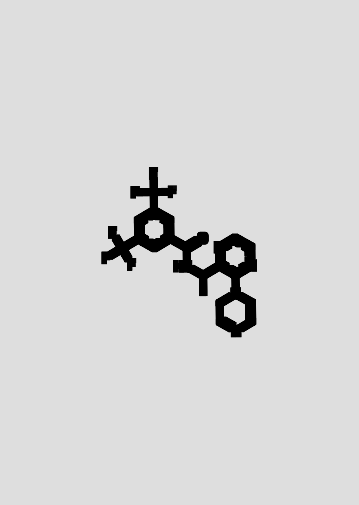 CC(NC(=O)c1cc(C(F)(F)F)cc(C(F)(F)F)c1)c1nccnc1N1C=CN=CC1